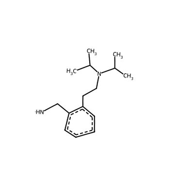 CC(C)N(CCc1ccccc1C[NH])C(C)C